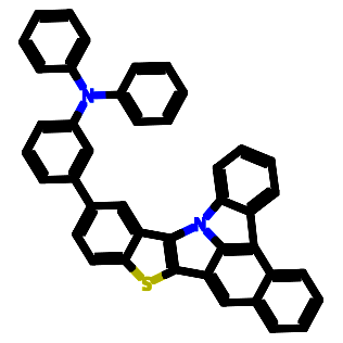 c1ccc(N(c2ccccc2)c2cccc(-c3ccc4sc5c6cc7ccccc7c7c8ccccc8n(c5c4c3)c67)c2)cc1